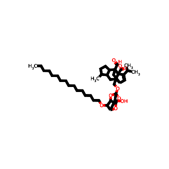 CCCCCCCCCCCCCCCCOC1C2OC3(OCC45CC6C(C)CCC6C6(C=O)CC4C=C(C(C)C)C65C(=O)O)OC2OC1C3O